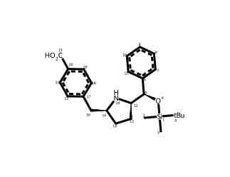 CC(C)(C)[Si](C)(C)O[C@H](c1ccccc1)[C@H]1CC[C@@H](Cc2ccc(C(=O)O)cc2)N1